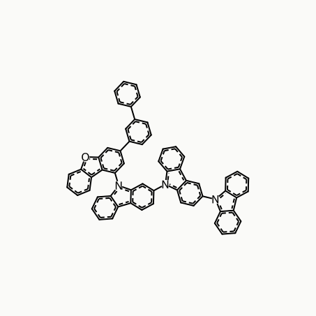 c1ccc(-c2cccc(-c3cc(-n4c5ccccc5c5ccc(-n6c7ccccc7c7cc(-n8c9ccccc9c9ccccc98)ccc76)cc54)c4c(c3)oc3ccccc34)c2)cc1